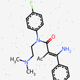 CC(=O)C(C(=O)N(CCN(C)C)c1ccc(F)cc1)=C(N)c1ccccc1